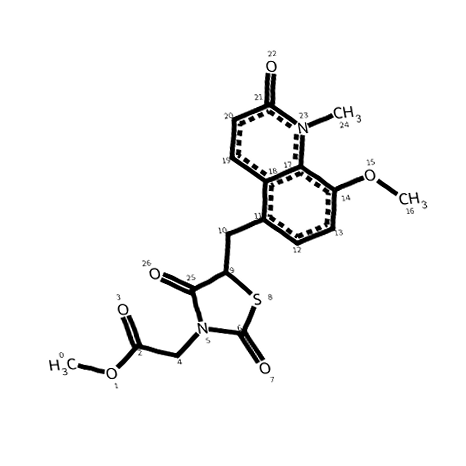 COC(=O)CN1C(=O)SC(Cc2ccc(OC)c3c2ccc(=O)n3C)C1=O